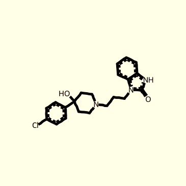 O=c1[nH]c2ccccc2n1CCCN1CCC(O)(c2ccc(Cl)cc2)CC1